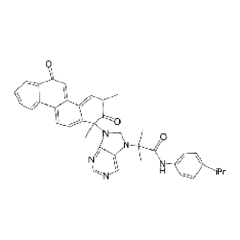 CC1C=c2c(ccc3c2=CC(=O)c2ccccc2-3)C(C)(N2CN(C(C)(C)C(=O)Nc3ccc(C(C)C)cc3)c3cncnc32)C1=O